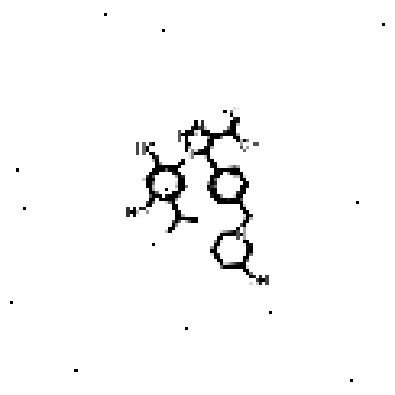 CC(C)c1cc(-n2nnc(C(=O)O)c2-c2ccc(CN3CCCC(O)C3)cc2)c(O)cc1O